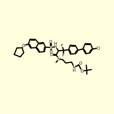 CN(CCCNC(=O)OC(C)(C)C)C(=O)C(NS(=O)(=O)c1ccc2cc(OC3CCCC3)ccc2c1)C(F)(F)c1ccc(-c2ccc(Cl)cc2)cc1